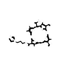 C=CC1=C(C)c2nc1cc1[nH]c(cc3nc(cc4c(CC)c(C)c(c2C(N)=O)n4CCC)C(C(=O)NCCCn2ccnc2)=C3C)c(C=C)c1C